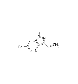 C=Cc1n[nH]c2cc(Br)cnc12